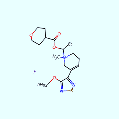 CCCCCCOc1nsnc1C1=CCC[N+](C)(C(CC)OC(=O)C2CCOCC2)C1.[I-]